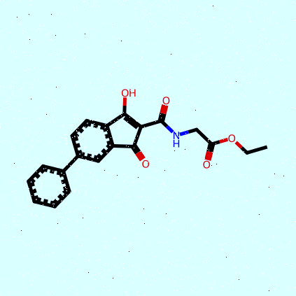 CCOC(=O)CNC(=O)C1=C(O)c2ccc(-c3ccccc3)cc2C1=O